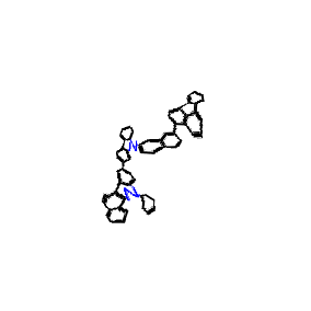 c1ccc(-n2c3ccc(-c4ccc5c6ccccc6n(-c6ccc7ccc(-c8ccc9c%10c(cccc8%10)-c8ccccc8-9)cc7c6)c5c4)cc3c3ccc4ccccc4c32)cc1